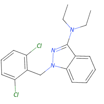 CCN(CC)c1nn(Cc2c(Cl)cccc2Cl)c2ccccc12